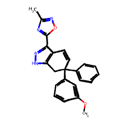 COc1cccc(C2(c3ccccc3)C=Cc3c(-c4nc(C)no4)n[nH]c3C2)c1